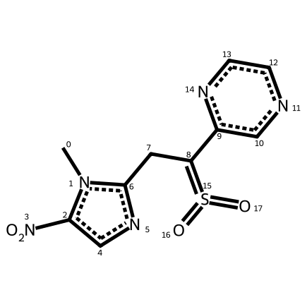 Cn1c([N+](=O)[O-])cnc1CC(c1cnccn1)=S(=O)=O